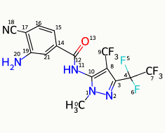 Cn1nc(C(F)(F)C(F)(F)F)c(C(F)(F)F)c1NC(=O)c1ccc(C#N)c(N)c1